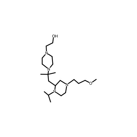 COCCCN1CCN(C(C)C)C(CC(C)(C)N2CCN(CCO)CC2)C1